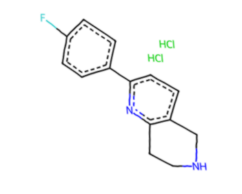 Cl.Cl.Fc1ccc(-c2ccc3c(n2)CCNC3)cc1